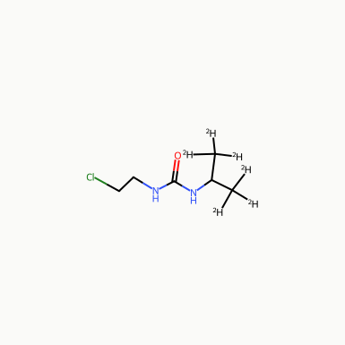 [2H]C([2H])([2H])C(NC(=O)NCCCl)C([2H])([2H])[2H]